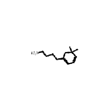 CC1(C)C=CC=C(CCCCS(=O)(=O)O)C1